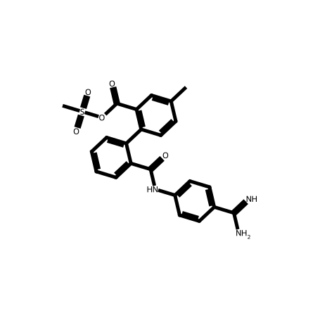 Cc1ccc(-c2ccccc2C(=O)Nc2ccc(C(=N)N)cc2)c(C(=O)OS(C)(=O)=O)c1